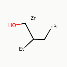 CCCCC(CC)CO.[Zn]